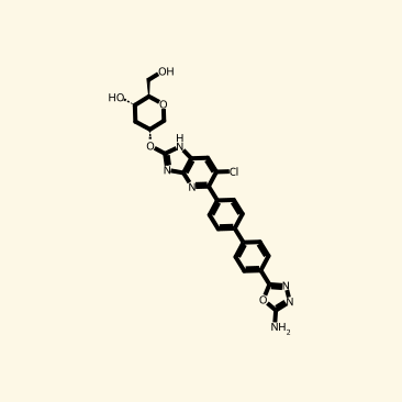 Nc1nnc(-c2ccc(-c3ccc(-c4nc5nc(O[C@H]6CO[C@H](CO)[C@@H](O)C6)[nH]c5cc4Cl)cc3)cc2)o1